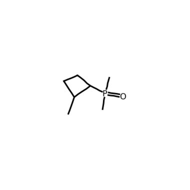 CC1CCC1P(C)(C)=O